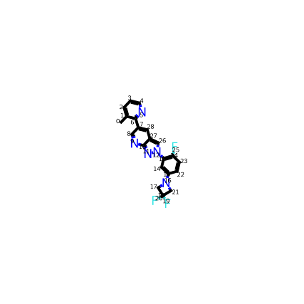 Cc1cccnc1-c1cnc2nn(-c3cc(N4CC(F)(F)C4)ccc3F)cc2c1